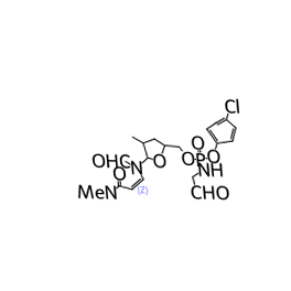 CNC(=O)/C=C\N(C=O)C1OC(COP(=O)(NCC=O)Oc2ccc(Cl)cc2)CC1C